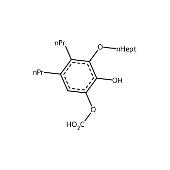 CCCCCCCOc1c(O)c(OC(=O)O)cc(CCC)c1CCC